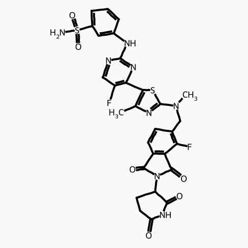 Cc1nc(N(C)Cc2ccc3c(c2F)C(=O)N(C2CCC(=O)NC2=O)C3=O)sc1-c1nc(Nc2cccc(S(N)(=O)=O)c2)ncc1F